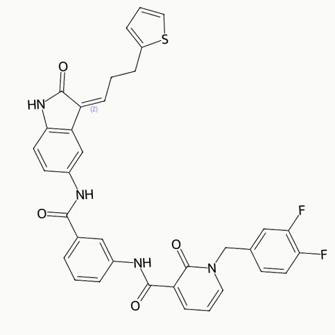 O=C1Nc2ccc(NC(=O)c3cccc(NC(=O)c4cccn(Cc5ccc(F)c(F)c5)c4=O)c3)cc2/C1=C/CCc1cccs1